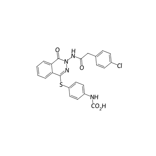 O=C(O)Nc1ccc(Sc2nn(NC(=O)Cc3ccc(Cl)cc3)c(=O)c3ccccc23)cc1